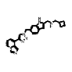 c1cc(-c2cn(Cc3ccc4cc(CNCC5CCC5)[nH]c4c3)nn2)c2cncn2c1